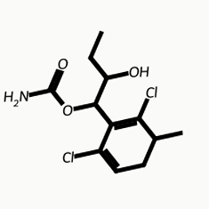 CCC(O)C(OC(N)=O)C1=C(Cl)C(C)CC=C1Cl